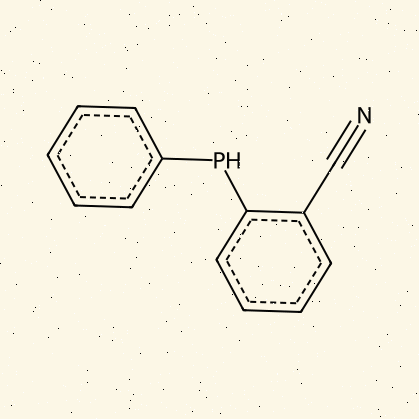 N#Cc1ccccc1Pc1ccccc1